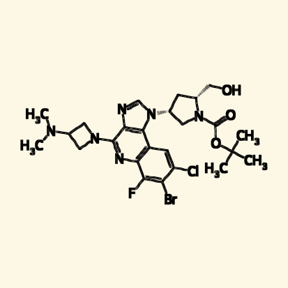 CN(C)C1CN(c2nc3c(F)c(Br)c(Cl)cc3c3c2ncn3[C@@H]2C[C@H](CO)N(C(=O)OC(C)(C)C)C2)C1